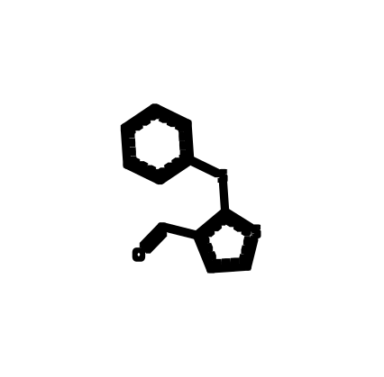 O=Cc1ccsc1Sc1ccccc1